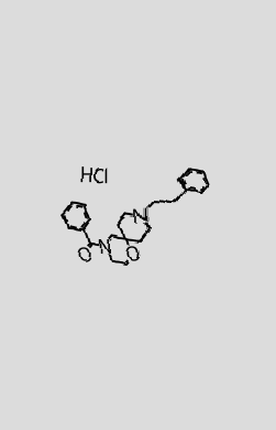 Cl.O=C(c1ccccc1)N1CCOC2(CCN(CCc3ccccc3)CC2)C1